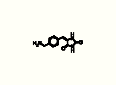 NCc1ccc(C=C2NC(=O)NC2=O)cc1